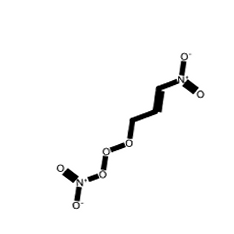 O=[N+]([O-])C=CCOOO[N+](=O)[O-]